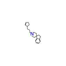 C1=CC(CCCN2CCC3(CCc4ccccc43)CC2)CC1